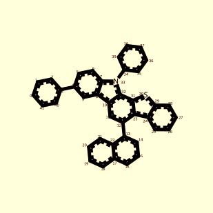 c1ccc(-c2ccc3c(c2)c2cc(-c4cccc5ccccc45)c4c5ccccc5sc4c2n3-c2ccccc2)cc1